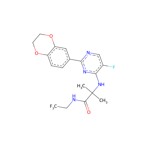 CC(C)(Nc1nc(-c2ccc3c(c2)OCCO3)ncc1F)C(=O)NCC(F)(F)F